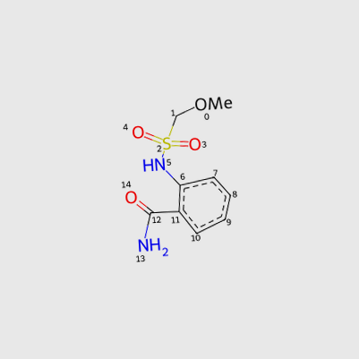 COCS(=O)(=O)Nc1ccccc1C(N)=O